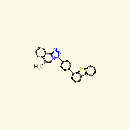 Cc1cn2c(-c3ccc(-c4cccc5c4sc4ccccc45)cc3)nnc2c2ccccc12